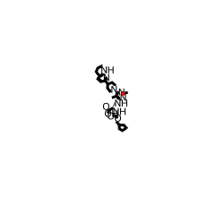 Cc1nc(NC[C@H](NC(=O)OCC2CCCC2)C(=O)O)c(C)c(N2CCC(c3ccc4c(n3)NCCC4)CC2)n1